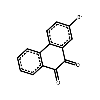 O=C1C(=O)c2cc(Br)ccc2-c2ccccc21